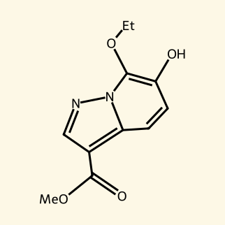 CCOc1c(O)ccc2c(C(=O)OC)cnn12